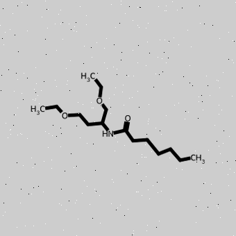 CCCCCCC(=O)NC(CCOCC)COCC